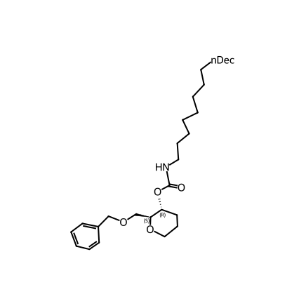 CCCCCCCCCCCCCCCCCCNC(=O)O[C@@H]1CCCO[C@H]1COCc1ccccc1